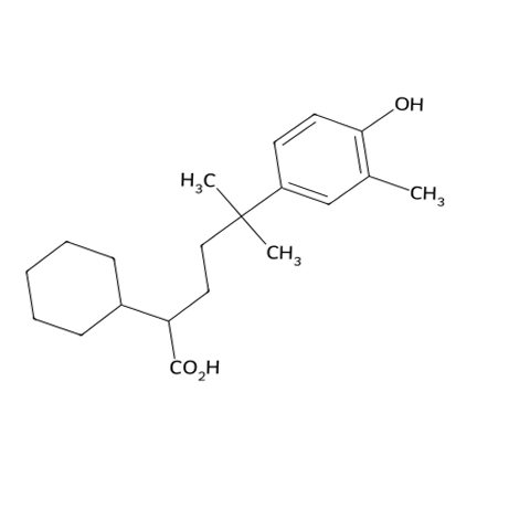 Cc1cc(C(C)(C)CCC(C(=O)O)C2CCCCC2)ccc1O